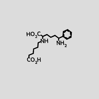 NC(CCCC(NCCCCCC(=O)O)C(=O)O)c1ccccc1